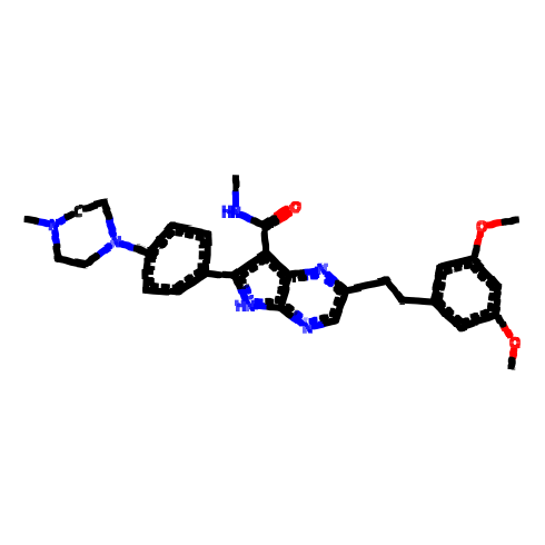 CNC(=O)c1c(-c2ccc(N3CCN(C)CC3)cc2)[nH]c2ncc(CCc3cc(OC)cc(OC)c3)nc12